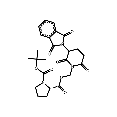 CC(C)(C)OC(=O)N1CCC[C@H]1C(=O)OCN1C(=O)CCC(N2C(=O)c3ccccc3C2=O)C1=O